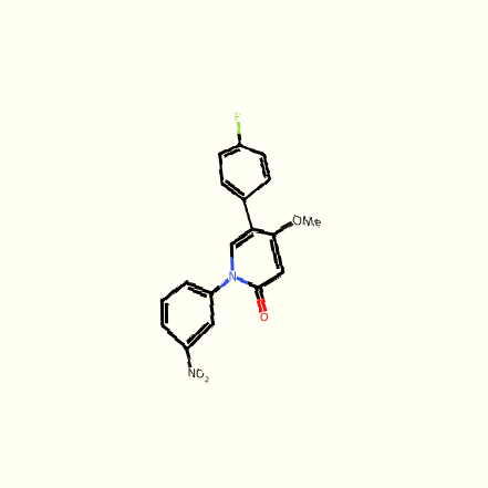 COc1cc(=O)n(-c2cccc([N+](=O)[O-])c2)cc1-c1ccc(F)cc1